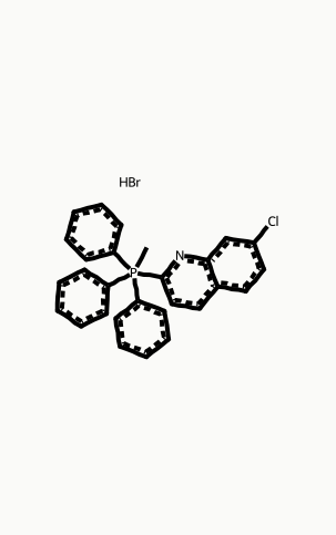 Br.CP(c1ccccc1)(c1ccccc1)(c1ccccc1)c1ccc2ccc(Cl)cc2n1